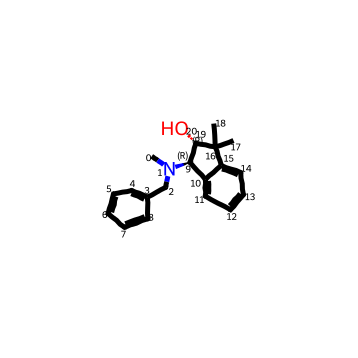 CN(Cc1ccccc1)[C@@H]1c2ccccc2C(C)(C)[C@H]1O